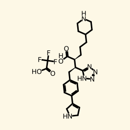 O=C(O)C(F)(F)F.O=C(O)[C@@H](CCCC1CCNCC1)[C@H](Cc1ccc(C2=CCNC2)cc1)c1nnn[nH]1